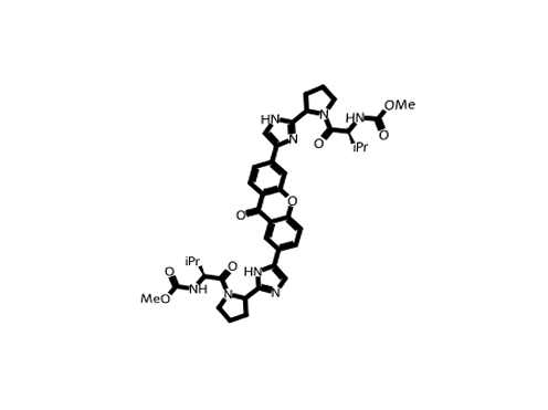 COC(=O)N[C@H](C(=O)N1CCCC1c1nc(-c2ccc3c(=O)c4cc(-c5cnc(C6CCCN6C(=O)[C@@H](NC(=O)OC)C(C)C)[nH]5)ccc4oc3c2)c[nH]1)C(C)C